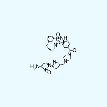 Nc1ccn(-c2ccc(CN3CCN(C(=O)c4ccc(NP(=O)(O)c5cccc6c5N=CC=CC6)cc4)CC3)cn2)c(=O)n1